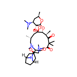 CO[C@]1(C)C[C@@H](C)CN(C)C(C2C[C@H]3CC[C@@H](C2)N3C(=O)CN(C)C)COC(=O)C(C)(C)C(=O)[C@H](C)[C@H]1O[C@@H]1O[C@H](C)C[C@H](N(C)C)[C@H]1O